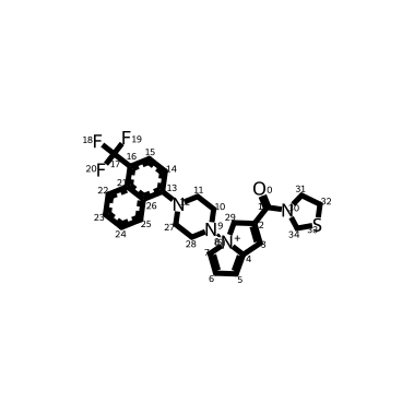 O=C(C1=CC2=CC=C[N@@+]2(N2CCN(c3ccc(C(F)(F)F)c4ccccc34)CC2)C1)N1CCSC1